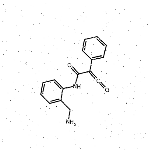 NCc1ccccc1NC(=O)C(=C=O)c1ccccc1